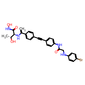 C=C(N[C@H](C(=O)NO)[C@@H](C)O)c1ccc(C#Cc2ccc(NC(=O)CNc3ccc(Br)cc3)cc2)cc1